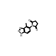 Cc1c(N2C(=O)CCC2=O)ccc2[nH]nnc12